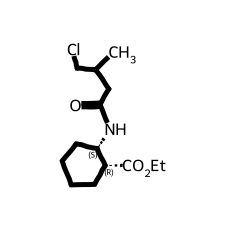 CCOC(=O)[C@@H]1CCCC[C@@H]1NC(=O)CC(C)CCl